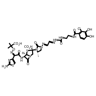 C[C@H]1CN(/N=C/C=N/NC(=O)NCCNC(=O)c2ccc(O)c(O)c2Cl)C(=O)N1[C@]1(C(=O)O)CN2C(=O)[C@@H](NC(=O)/C(=N\OC(C)(C)C(=O)O)c3csc(N)n3)[C@H]2S1